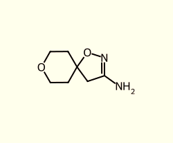 NC1=NOC2(CCOCC2)C1